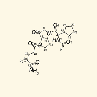 CC(=O)NC(C(=O)N1CC(=O)C2C1CCN2C(=O)[CH]CC(C)C(N)=O)C1CCCC1